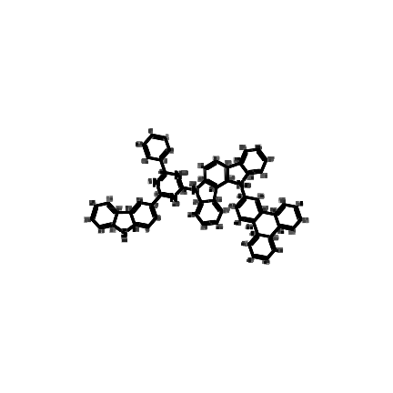 c1ccc(-c2nc(-c3ccc4sc5ccccc5c4c3)nc(-n3c4ccccc4c4c3ccc3c5ccccc5n(-c5ccc6c7ccccc7c7ccccc7c6c5)c34)n2)cc1